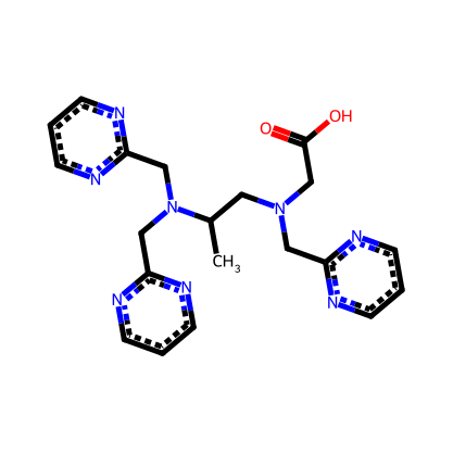 CC(CN(CC(=O)O)Cc1ncccn1)N(Cc1ncccn1)Cc1ncccn1